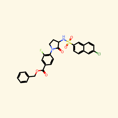 O=C(OCc1ccccc1)c1ccc(N2CCC(NS(=O)(=O)c3ccc4cc(Cl)ccc4c3)C2=O)c(F)c1